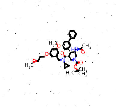 COCCCOc1cc(CN(C(=O)[C@H]2CN(C(=O)OC(C)(C)C)C[C@@H](NC(C)=O)[C@@H]2c2cccc(-c3ccccc3)c2)C2CC2)cc(OC)c1